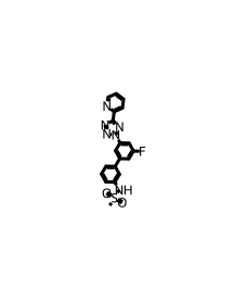 CS(=O)(=O)Nc1cccc(-c2cc(F)cc(-n3nnc(-c4ccccn4)n3)c2)c1